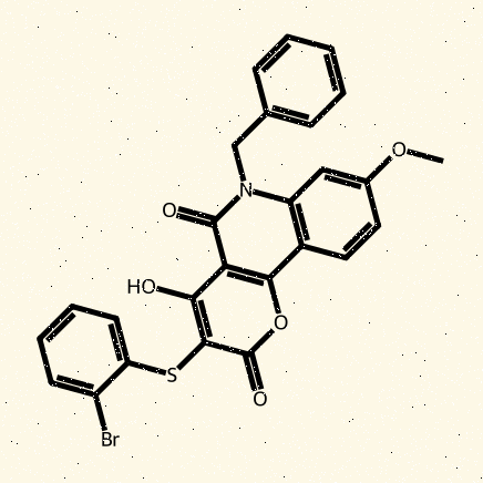 COc1ccc2c3oc(=O)c(Sc4ccccc4Br)c(O)c3c(=O)n(Cc3ccccc3)c2c1